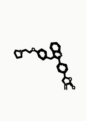 O=C1NCC(c2ccc(-c3sc4ccccc4c3Cc3ccc(OCCN4CCCC4)cc3)cc2)O1